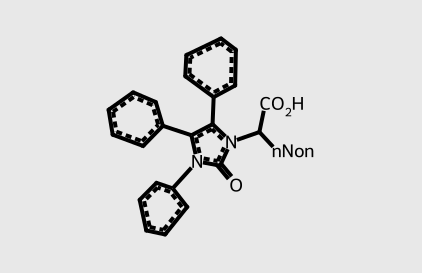 CCCCCCCCCC(C(=O)O)n1c(-c2ccccc2)c(-c2ccccc2)n(-c2ccccc2)c1=O